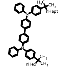 CCCCCCCC(C)(C)c1ccc(N(c2ccccc2)c2ccc(-c3ccc(N(c4ccccc4)c4ccc(C(C)(C)CCCCCC)cc4)cc3)cc2)cc1